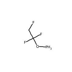 FCC(F)(F)OP